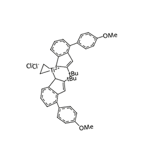 COc1ccc(-c2cccc3c2C=C(C(C)(C)C)[CH]3[Ti+2]2([CH]3C(C(C)(C)C)=Cc4c(-c5ccc(OC)cc5)cccc43)[CH2][CH2]2)cc1.[Cl-].[Cl-]